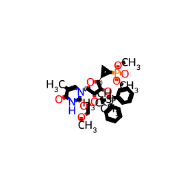 COCCOC1C(O[Si](c2ccccc2)(c2ccccc2)C(C)(C)C)[C@@H](C2CC2P(=O)(OC)OC)O[C@H]1n1cc(C)c(=O)[nH]c1=O